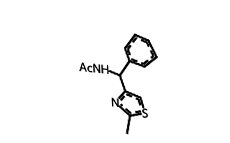 CC(=O)NC(c1ccccc1)c1csc(C)n1